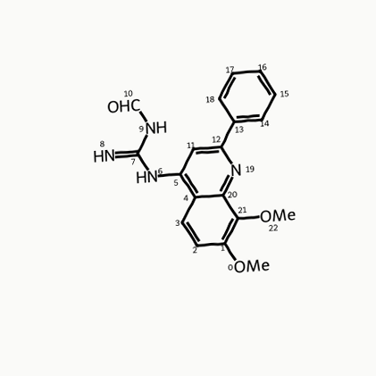 COc1ccc2c(NC(=N)NC=O)cc(-c3ccccc3)nc2c1OC